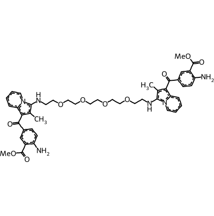 COC(=O)c1cc(C(=O)c2c(C)c(NCCOCCOCCOCCOCCNc3c(C)c(C(=O)c4ccc(N)c(C(=O)OC)c4)c4ccccn34)n3ccccc23)ccc1N